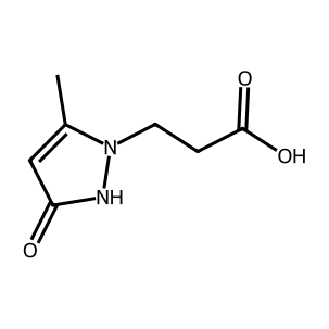 Cc1cc(=O)[nH]n1CCC(=O)O